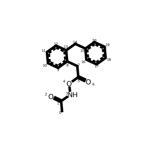 CC(=O)NOC(=O)Cc1ccccc1Cc1ccccc1